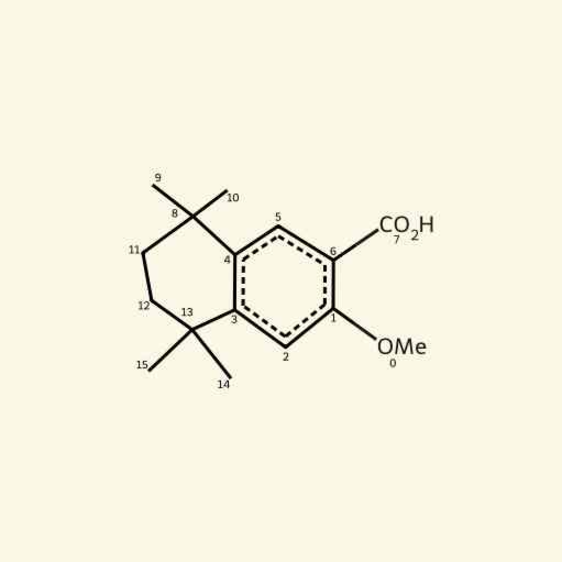 COc1cc2c(cc1C(=O)O)C(C)(C)CCC2(C)C